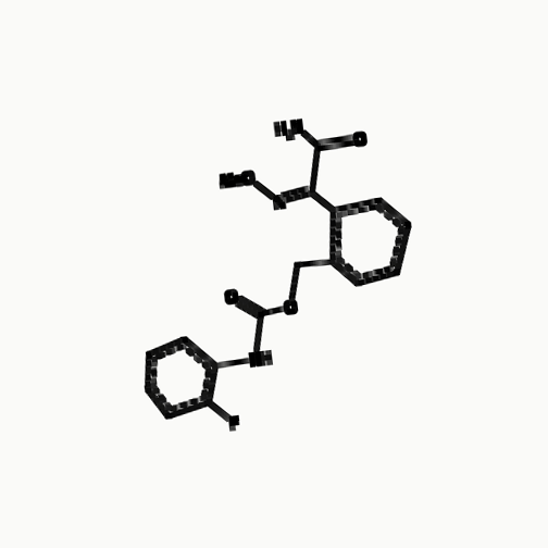 CON=C(C(N)=O)c1ccccc1COC(=O)Nc1ccccc1F